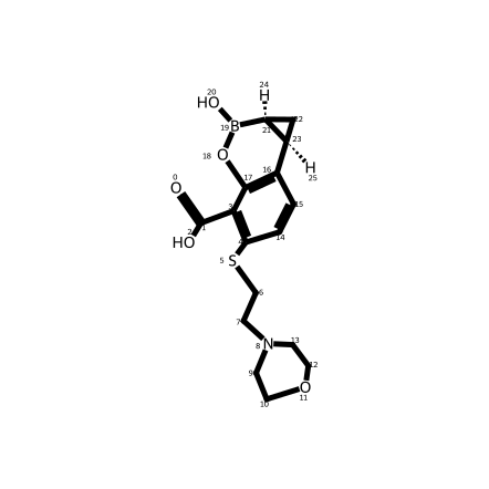 O=C(O)c1c(SCCN2CCOCC2)ccc2c1OB(O)[C@H]1C[C@@H]21